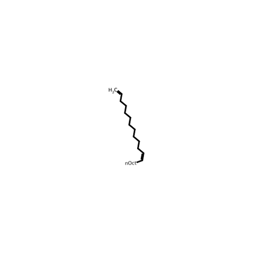 C=CCCCCCCCCC/C=C\CCCCCCCC